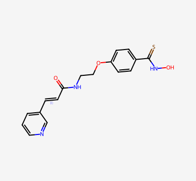 O=C(/C=C/c1cccnc1)NCCOc1ccc(C(=S)NO)cc1